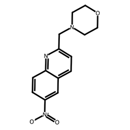 O=[N+]([O-])c1ccc2nc(CN3CCOCC3)ccc2c1